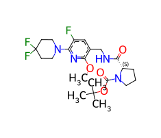 COc1nc(N2CCC(F)(F)CC2)c(F)cc1CNC(=O)[C@@H]1CCCN1C(=O)OC(C)(C)C